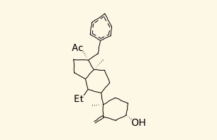 C=C1C[C@@H](O)CC[C@]1(C)C1CC[C@@]2(C)C(CC[C@]2(Cc2ccccc2)C(C)=O)C1CC